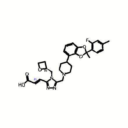 Cc1ccc(C2(C)Oc3cccc(C4CCN(Cc5nnc(/C=C/C(=O)O)n5C[C@@H]5CCO5)CC4)c3O2)c(F)c1